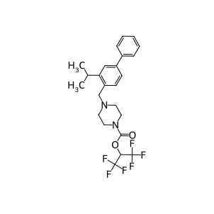 CC(C)c1cc(-c2ccccc2)ccc1CN1CCN(C(=O)OC(C(F)(F)F)C(F)(F)F)CC1